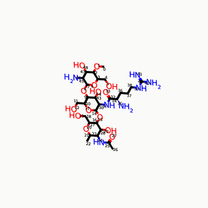 COC1C(CO)OC(OC2C(CO)OC(OC3C(CO)OC(C)C(NC(C)=O)C3O)C(NC(=O)[C@@H](N)CCCNC(=N)N)C2O)C(N)C1O